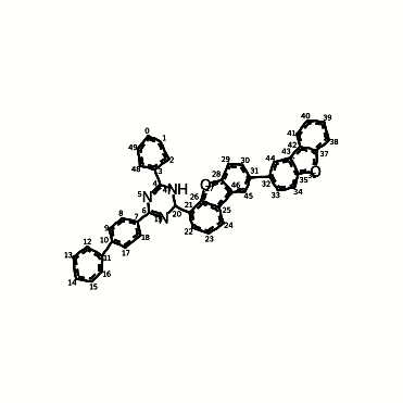 c1ccc(C2=NC(c3ccc(-c4ccccc4)cc3)=NC(c3cccc4c3oc3ccc(-c5ccc6oc7ccccc7c6c5)cc34)N2)cc1